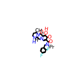 CC(C)N(Cc1ccc(F)cc1F)C(=O)c1cn2c(c(O)c1=O)C(=O)N1[C@H](C)CCN[C@H]1C2